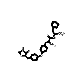 NC(Cc1ccc(Oc2ccc(CC3SC(=O)NC3=O)cc2)cc1)C(=O)NC(Cc1ccccc1)C(=O)O